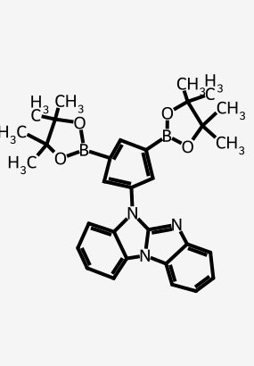 CC1(C)OB(c2cc(B3OC(C)(C)C(C)(C)O3)cc(-n3c4ccccc4n4c5ccccc5nc34)c2)OC1(C)C